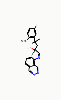 COc1ccc(F)cc1C(C)(C)CC(O)(/C=N\c1cccc2cnncc12)C(F)(F)F